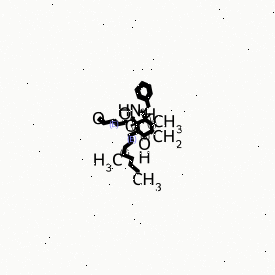 C=C1[C@@H](O)C(/C=C/C[C@H](C)CCCC)[C@]2(OC(=O)/C=C/C=O)CN[C@@H](Cc3ccccc3)[C@@H]2[C@@H]1C